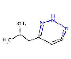 CC(C)CC1=NNN=C=C1